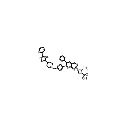 CC1C(C(=O)O)CN1c1ncc2cc(-c3ccccc3)c(-c3ccc(CN4CCC(c5nnc(-c6ccccn6)[nH]5)CC4)cc3)nc2n1